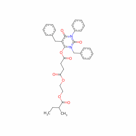 CCC(C)C(=O)OCCOC(=O)CCC(=O)Oc1c(Cc2ccccc2)c(=O)n(-c2ccccc2)c(=O)n1Cc1ccccc1